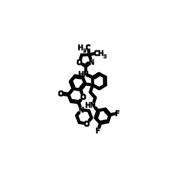 CC1(C)COC(NC2=CC=CCC2(CCNc2cc(F)cc(F)c2)c2cccc3c(=O)cc(N4CCOCC4)oc23)=N1